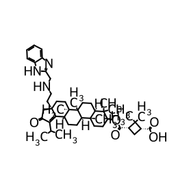 CC(C)C1=C2[C@H]3CC[C@@H]4[C@@]5(C)CC[C@H](OC(=O)[C@H]6C[C@@H](C(=O)O)C6(C)C)C(C)(C)[C@@H]5CC[C@@]4(C)[C@]3(C)CC[C@@]2(CCNCc2nc3ccccc3[nH]2)CC1=O